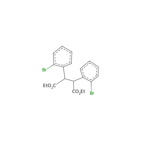 CCOC(=O)C(c1ccccc1Br)C(C(=O)OCC)c1ccccc1Br